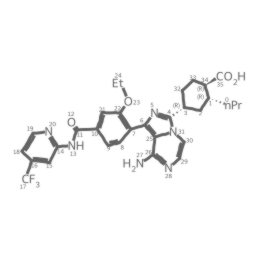 CCC[C@@H]1C[C@H](c2nc(-c3ccc(C(=O)Nc4cc(C(F)(F)F)ccn4)cc3OCC)c3c(N)nccn23)CC[C@H]1C(=O)O